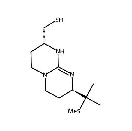 CSC(C)(C)[C@H]1CCN2CC[C@H](CS)NC2=N1